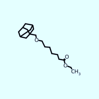 CCOC(=O)CCCCCCOCC12CC3CC(CC(C3)C1)C2